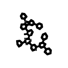 CC1C(c2cccc3c2c2cc(-c4ccccc4)ccc2n3-c2ccccc2)=CC=CC1c1nc(-c2ccccc2)nc(-c2ccnc(-c3cc(-c4ccccc4)cc(-c4ccccc4)c3)c2)n1